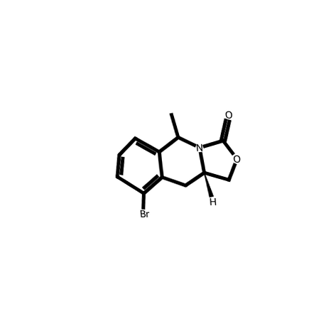 CC1c2cccc(Br)c2C[C@H]2COC(=O)N12